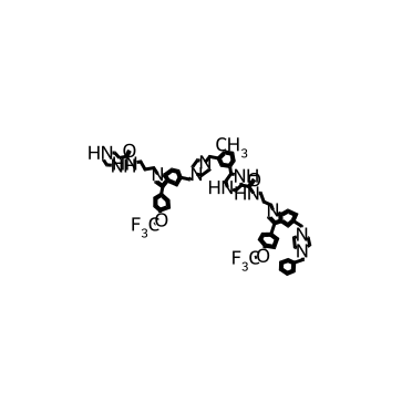 Cc1ccc(C2CNCC(C(=O)NCCCn3cc(-c4ccc(OC(F)(F)F)cc4)c4cc(CN5CCN(Cc6ccccc6)CC5)ccc43)N2)cc1CN1CCN(Cc2ccc3c(c2)c(-c2ccc(OC(F)(F)F)cc2)cn3CCCNC(=O)C2CNCCN2)CC1